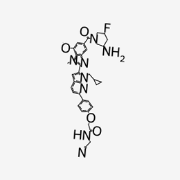 COc1cc(C(=O)N2C[C@H](N)C[C@@H](F)C2)cc2nc(-c3cc4ccc(-c5ccc(OCC(=O)NCC#N)cc5)nc4n3CC3CC3)n(C)c12